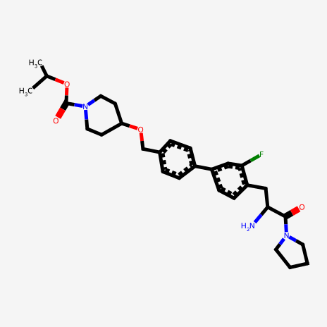 CC(C)OC(=O)N1CCC(OCc2ccc(-c3ccc(CC(N)C(=O)N4CCCC4)c(F)c3)cc2)CC1